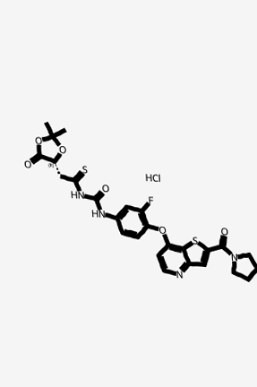 CC1(C)OC(=O)[C@@H](CC(=S)NC(=O)Nc2ccc(Oc3ccnc4cc(C(=O)N5CCCC5)sc34)c(F)c2)O1.Cl